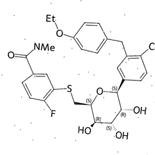 CCOc1ccc(Cc2cc([C@@H]3O[C@H](CSc4cc(C(=O)NC)ccc4F)[C@H](O)[C@@H](O)[C@H]3O)ccc2Cl)cc1